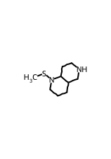 CSN1CCCC2CNCCC21